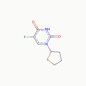 O=c1[nH]c(=O)n(C2CCCS2)cc1F